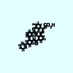 Cc1cccc(CN(C)C(=O)c2ccnc(-c3cc(N4CCCCC4)ccc3NC(=O)c3cccc(CSCCC(=O)O)c3)c2)c1